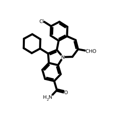 NC(=O)c1ccc2c(C3CCCCC3)c3n(c2c1)CC(C=O)=Cc1ccc(Cl)cc1-3